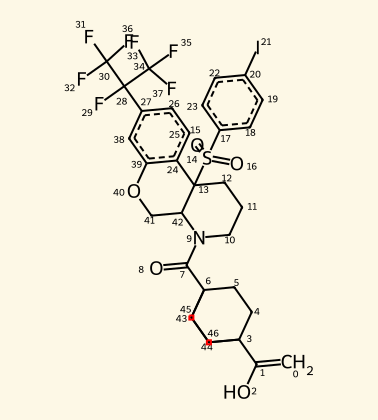 C=C(O)C12CCC(C(=O)N3CCCC4(S(=O)(=O)c5ccc(I)cc5)c5ccc(C(F)(C(F)(F)F)C(F)(F)F)cc5OCC34)(CC1)CC2